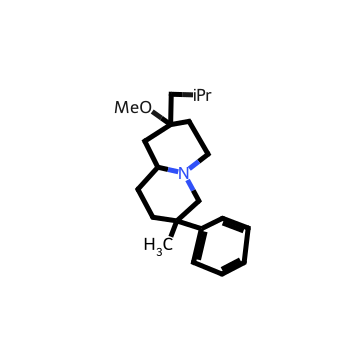 COC1(CC(C)C)CCN2CC(C)(c3ccccc3)CCC2C1